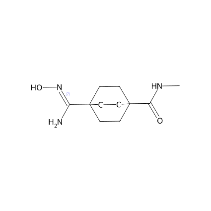 CNC(=O)C12CCC(/C(N)=N/O)(CC1)CC2